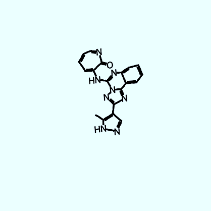 Cc1[nH]ncc1-c1nc2c3ccccc3nc(Nc3ccccnc3=O)n2n1